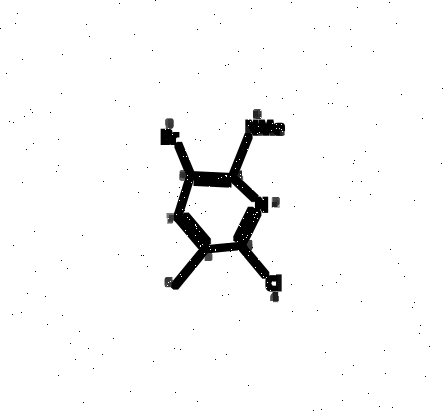 CNc1nc(Cl)c(C)cc1Br